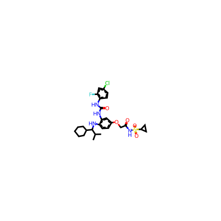 CC(C)C(Nc1ccc(OCC(=O)NS(=O)(=O)C2CC2)cc1NC(=O)Nc1ccc(Cl)cc1F)C1CCCCC1